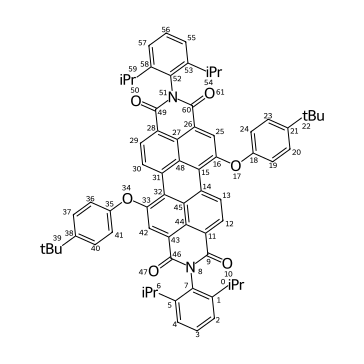 CC(C)c1cccc(C(C)C)c1N1C(=O)c2ccc3c4c(Oc5ccc(C(C)(C)C)cc5)cc5c6c(ccc(c7c(Oc8ccc(C(C)(C)C)cc8)cc(c2c37)C1=O)c64)C(=O)N(c1c(C(C)C)cccc1C(C)C)C5=O